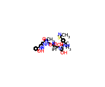 Cc1ncsc1-c1ccc([C@H](C)NC(=O)[C@@H]2C[C@@H](O)CN2C(=O)[C@@H](c2cc(OCCN(C)C(=O)c3cc4cc(-c5ccccc5O)nnc4[nH]3)no2)C(C)C)cc1